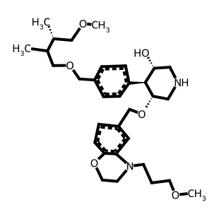 COCCCN1CCOc2ccc(CO[C@H]3CNC[C@@H](O)[C@@H]3c3ccc(COCC(C)[C@H](C)COC)cc3)cc21